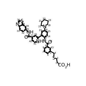 O=C(O)CCSCc1cccc(C(=O)Nc2ccc(N3CCCCC3)cc2-c2cc(C(=O)Nc3ccc4ncsc4c3)ccn2)c1